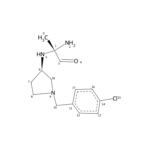 C[C@@](N)(C=O)N[C@@H]1CCN(Cc2ccc(Cl)cc2)C1